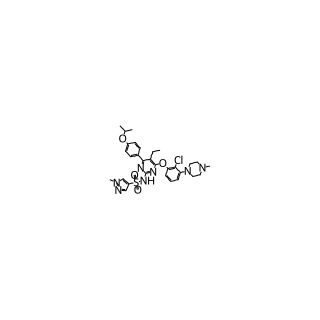 CCc1c(Oc2cccc(N3CCN(C)CC3)c2Cl)nc(NS(=O)(=O)c2cnn(C)c2)nc1-c1ccc(OC(C)C)cc1